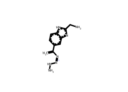 C=C(/N=N\NN)c1ccc2[nH]c(CN)nc2c1